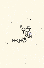 N#CC1CCN(c2cccc(-c3cnc(/C=C\C(=N)N4CCCC4c4cccc(F)c4)[nH]3)n2)CC1